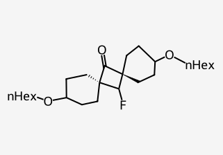 CCCCCCOC1CC[C@]2(CC1)C(=O)[C@@]1(CCC(OCCCCCC)CC1)C2F